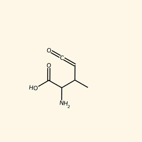 CC(C=C=O)C(N)C(=O)O